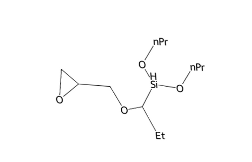 CCCO[SiH](OCCC)C(CC)OCC1CO1